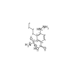 CCCCc1c(NN)ccc(C(=O)O)c1S(N)(=O)=O